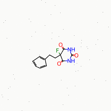 O=C1NC(=O)C(F)(CCc2ccccc2)C(=O)N1